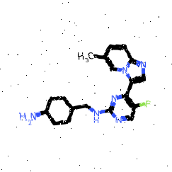 Cc1ccc2ncc(-c3nc(NCC4CCC(N)CC4)ncc3F)n2c1